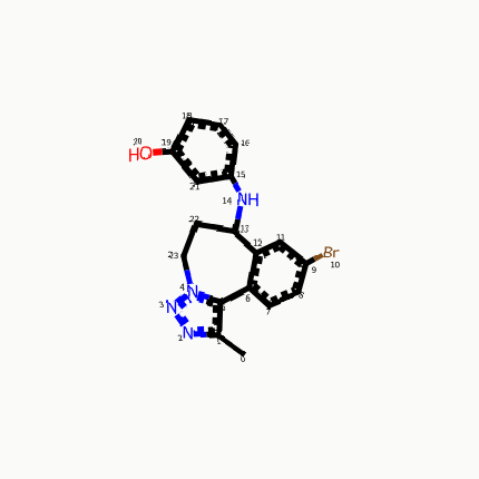 Cc1nnn2c1-c1ccc(Br)cc1C(Nc1cccc(O)c1)CC2